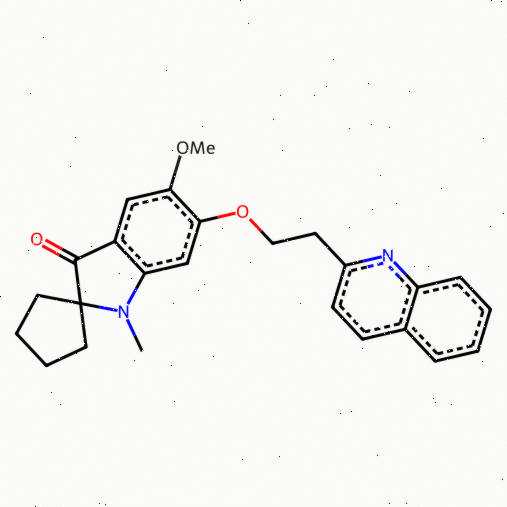 COc1cc2c(cc1OCCc1ccc3ccccc3n1)N(C)C1(CCCC1)C2=O